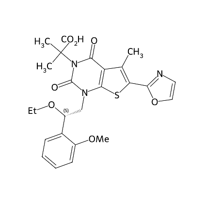 CCO[C@H](Cn1c(=O)n(C(C)(C)C(=O)O)c(=O)c2c(C)c(-c3ncco3)sc21)c1ccccc1OC